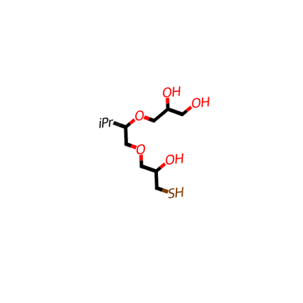 CC(C)C(COCC(O)CS)OCC(O)CO